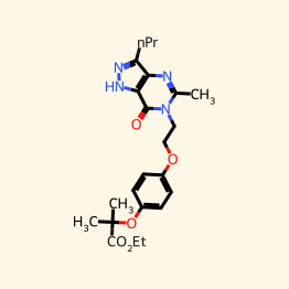 CCCc1n[nH]c2c(=O)n(CCOc3ccc(OC(C)(C)C(=O)OCC)cc3)c(C)nc12